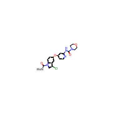 CNC(=O)n1cc(Cl)c2cc(Oc3ccnc(NC(=O)N4CCOCC4)c3)ccc21